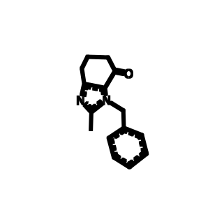 Cc1nc2c(n1Cc1ccccc1)C(=O)CCC2